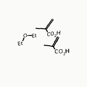 C=C(C)C(=O)O.C=C(C)C(=O)O.CCOCC